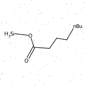 CCCCCCCC(=O)O[SiH3]